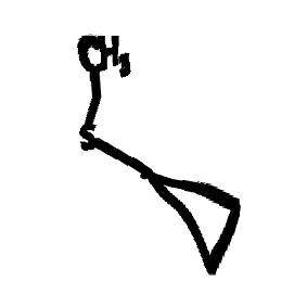 CS[C]1CC1